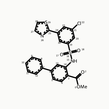 COC(=O)c1ccc(-c2ccccc2)cc1NS(=O)(=O)c1cc(Cl)cc(-c2nccs2)c1